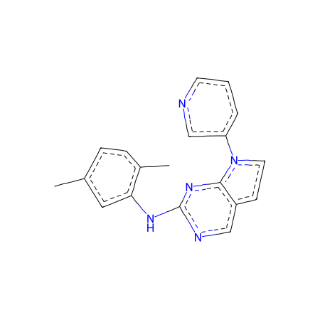 Cc1ccc(C)c(Nc2ncc3ccn(-c4cccnc4)c3n2)c1